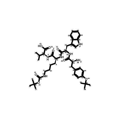 CC(C)[C@H](NC(=O)[C@H](CCCCNC(=O)OC(C)(C)C)NC(=O)[C@@H](Cc1c[nH]c2ccccc12)NC(=O)[C@@H](N)Cc1ccc(OC(C)(C)C)cc1)C(=O)O